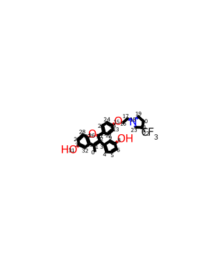 CC1=C(c2cccc(O)c2)C(c2ccc(OCCN3CC[C@@H](C(F)(F)F)C3)cc2)Oc2ccc(O)cc21